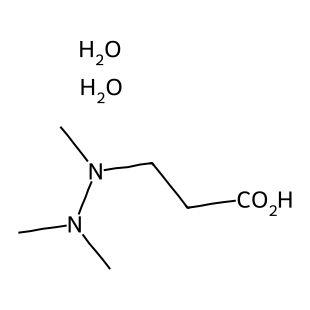 CN(C)N(C)CCC(=O)O.O.O